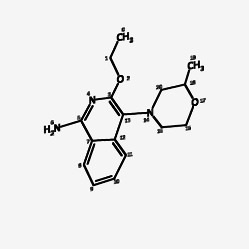 CCOc1nc(N)c2ccccc2c1N1CCOC(C)C1